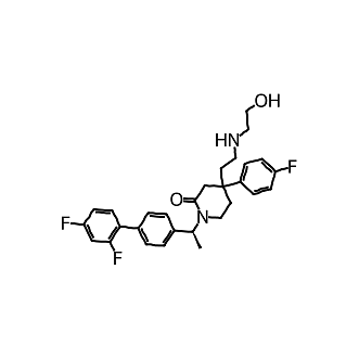 C[C@@H](c1ccc(-c2ccc(F)cc2F)cc1)N1CCC(CCNCCO)(c2ccc(F)cc2)CC1=O